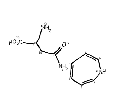 C1=CC=CNC=C1.NC(=O)CC(N)C(=O)O